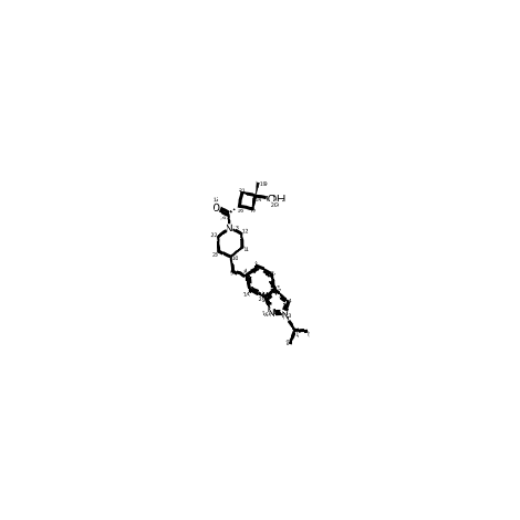 CC(C)n1cc2ccc(CC3CCN(C(=O)[C@H]4C[C@@](C)(O)C4)CC3)cc2n1